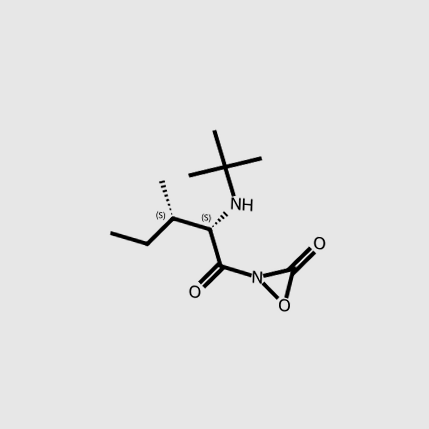 CC[C@H](C)[C@H](NC(C)(C)C)C(=O)N1OC1=O